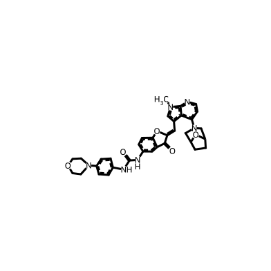 Cn1cc(C=C2Oc3ccc(NC(=O)Nc4ccc(N5CCOCC5)cc4)cc3C2=O)c2c(N3CC4CCC(C3)O4)ccnc21